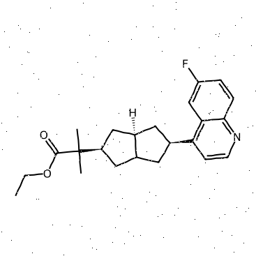 CCOC(=O)C(C)(C)[C@@H]1CC2C[C@H](c3ccnc4ccc(F)cc34)C[C@@H]2C1